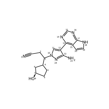 N#CCC(C1CC[C@@H](O)C1)n1cc(-c2ncnc3[nH]ccc23)c(N)n1